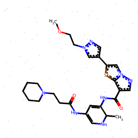 COCCn1cc(-c2cn3ncc(C(=O)NC4=CC(NC(=O)CCN5CCCCC5)=CNC4C)c3s2)cn1